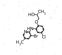 Cc1cnc(Nc2cc(Cl)ccc2OC[C@H](C)O)c(Br)c1